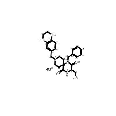 CC(C)CC1NC(=O)C2(CCN(Cc3ccc4c(c3)OCCO4)CC2)N(Cc2ccccc2)C1=O.Cl